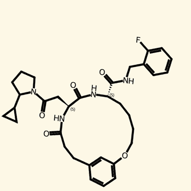 O=C1CCc2cccc(c2)OCCCC[C@@H](C(=O)NCc2ccccc2F)NC(=O)[C@H](CC(=O)N2CCCC2C2CC2)N1